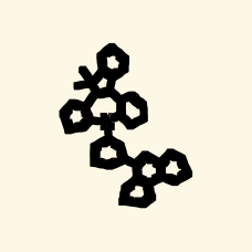 CC1(C)C2=C(C3=C(CCC=C3)N(c3cccc(-c4cc5ccccc5c5ccccc45)c3)c3ccccc32)c2ccccc21